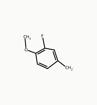 [CH2]c1ccc(OC)c(F)c1